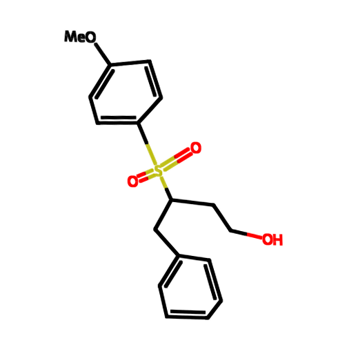 COc1ccc(S(=O)(=O)C(CCO)Cc2ccccc2)cc1